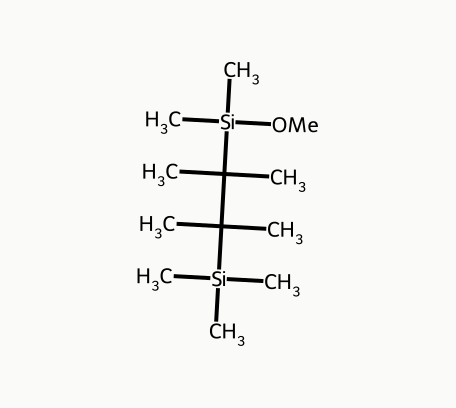 CO[Si](C)(C)C(C)(C)C(C)(C)[Si](C)(C)C